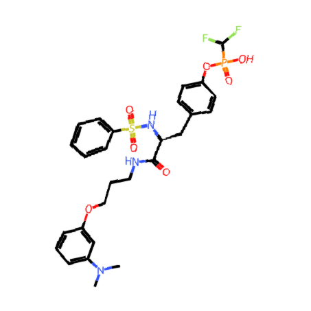 CN(C)c1cccc(OCCCNC(=O)[C@H](Cc2ccc(OP(=O)(O)C(F)F)cc2)NS(=O)(=O)c2ccccc2)c1